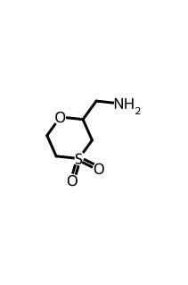 NCC1CS(=O)(=O)CCO1